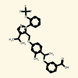 Cc1cc(OCc2c(C(C)C)cnn2-c2ccccc2OC(F)(F)F)ccc1C(C)Sc1cccc(C(=O)O)c1